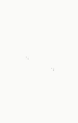 C1=CC=NC(c2ccccn2)=CC=1